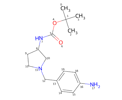 CC(C)(C)OC(=O)NC1CCN(Cc2ccc(N)cc2)C1